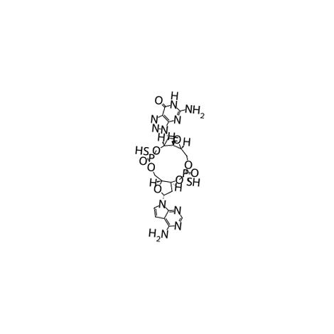 Nc1nc2c(nnn2[C@@H]2O[C@@H]3COP(=O)(S)O[C@H]4C[C@H](n5ccc6c(N)ncnc65)O[C@@H]4COP(=O)(S)O[C@H]2[C@@H]3F)c(=O)[nH]1